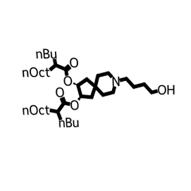 CCCCCCCCC(CCCC)C(=O)O[C@@H]1CC2(CCN(CCCCO)CC2)C[C@H]1OC(=O)C(CCCC)CCCCCCCC